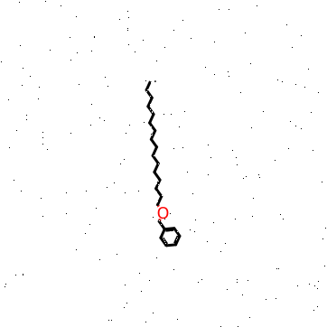 [CH2]CCCCCCCCCCCCCCCOCc1ccccc1